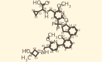 COc1nc(-c2cccc(-c3cccc4c3CC[C@@H]4Oc3nc(OC)c(CNC(C(=O)O)C4CC4)cc3C(F)(F)F)c2Cl)ccc1CN[C@H]1C[C@](C)(O)C1